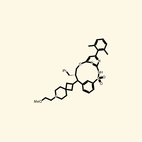 COCCN1CCC2(CC1)CC(C1c3cccc(c3)S(=O)(=O)Nc3nc(cc(-c4c(C)cccc4C)n3)OC[C@H]1CC(C)C)C2